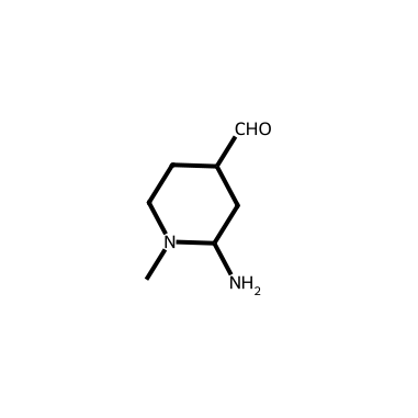 CN1CCC(C=O)CC1N